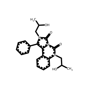 CC(O)Cn1c(-c2ccccc2)c2c3ccccc3n(CC(C)O)c(=O)n2c1=O